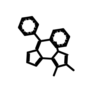 CC1=[C]C(C)C(C2=CC=CC2=C(c2ccccc2)c2ccccc2)=C1C